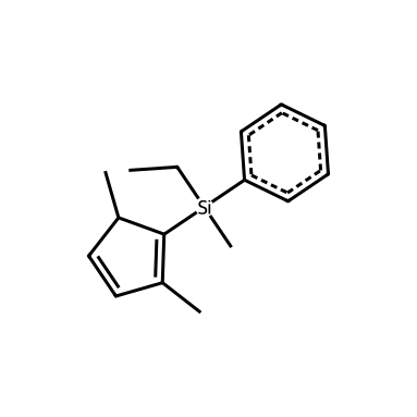 CC[Si](C)(C1=C(C)C=CC1C)c1ccccc1